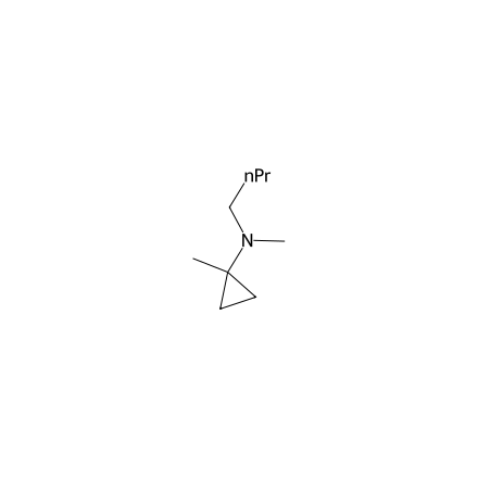 CCCCN(C)C1(C)CC1